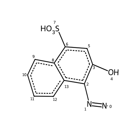 [N]=Nc1c(O)cc(S(=O)(=O)O)c2ccccc12